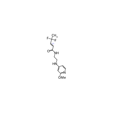 COc1cc(NCCNC(=O)/C=C/C(C)(F)F)ccn1